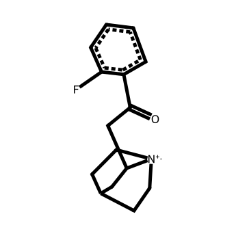 O=C(CC1CC2CC[N+]1CC2)c1ccccc1F